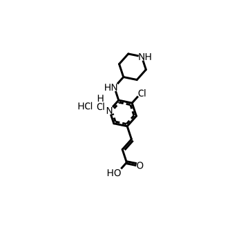 Cl.Cl.O=C(O)C=Cc1cnc(NC2CCNCC2)c(Cl)c1